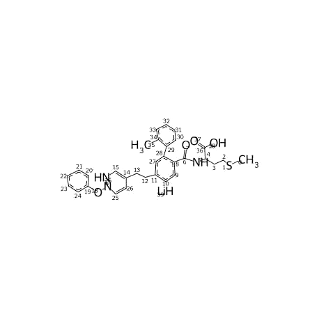 CSCCC(NC(=O)c1ccc(CCC2=CNN(Oc3ccccc3)C=C2)cc1-c1ccccc1C)C(=O)O.[LiH]